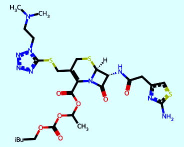 CCC(C)COC(=O)OC(C)OC(=O)C1=C(CSc2nnnn2CCN(C)C)CS[C@H]2[C@H](NC(=O)Cc3csc(N)n3)C(=O)N12